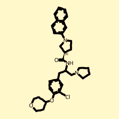 O=C(NC(Cc1ccc(OC2CCOCC2)c(Cl)c1)CN1CCCC1)[C@@H]1CCN(c2ccc3ccccc3c2)C1